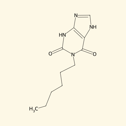 CCCCCCn1c(=O)[nH]c2nc[nH]c2c1=O